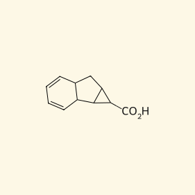 O=C(O)C1C2CC3C=CC=CC3C21